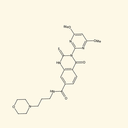 COc1cc(OC)nc(-n2c(=S)[nH]c3cc(C(=O)NCCCN4CCOCC4)ccc3c2=O)n1